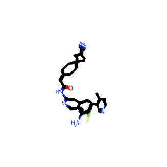 Cc1ccncc1-c1cc2cc(NC(=O)C=C3CCC4(CC3)CC(C#N)C4)ncc2c(N)c1F